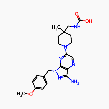 COc1ccc(Cn2nc(N)c3ncc(N4CCC(C)(CNC(=O)O)CC4)nc32)cc1